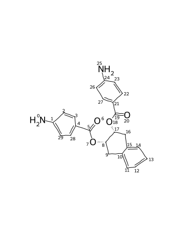 Nc1ccc(C(=O)O[C@H]2Cc3ccccc3C[C@H]2OC(=O)c2ccc(N)cc2)cc1